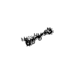 C[13C@@H]1CCC[13C@H]([13CH3])N1CC(=O)[15NH]CCC(=O)NCCSSc1ccccn1